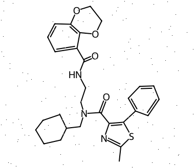 Cc1nc(C(=O)N(CCNC(=O)c2cccc3c2OCCO3)CC2CCCCC2)c(-c2ccccc2)s1